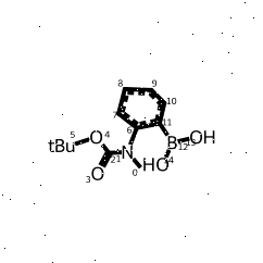 CN(C(=O)OC(C)(C)C)c1ccccc1B(O)O